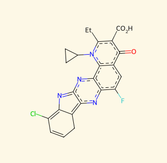 CCc1c(C(=O)O)c(=O)c2cc(F)c3nc4c(nc3c2n1C1CC1)=NC1=C(Cl)C=CCC=41